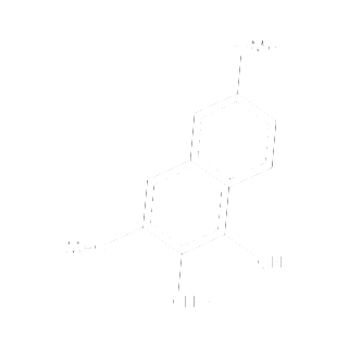 COc1ccc2c(O)c(C=O)c(OC)cc2c1